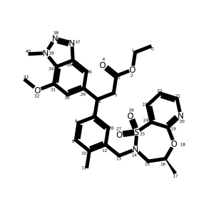 CCOC(=O)CC(c1ccc(C)c(CN2C[C@H](C)Oc3ncccc3S2(=O)=O)c1)c1cc(OC)c2c(c1)nnn2C